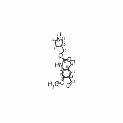 COc1cc(NC(=O)OC[C@H]2CCNC2)c(Cl)cc1C=O